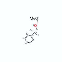 COCOCC(C)(C)c1ccccc1